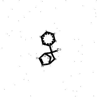 FC1(c2ccccc2)CC2C=CC1C2